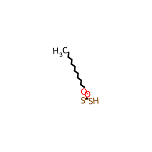 CCCCCCCCCCCCOOC(=S)S